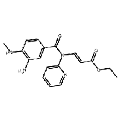 CCOC(=O)C=CN(C(=O)c1ccc(NC)c(N)c1)c1ccccn1